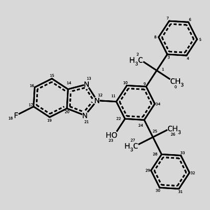 CC(C)(c1ccccc1)c1cc(-n2nc3ccc(F)cc3n2)c(O)c(C(C)(C)c2ccccc2)c1